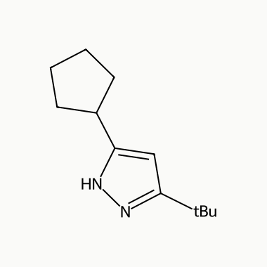 CC(C)(C)c1cc(C2CCCC2)[nH]n1